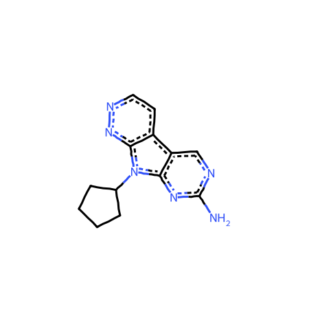 Nc1ncc2c3ccnnc3n(C3CCCC3)c2n1